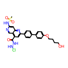 CS(=O)(=O)Nc1cc2nc(-c3ccc(-c4ccc(OCCCCO)cc4)cc3)cc(C(=O)NNCl)c2cn1